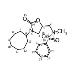 CN(C[C@H]1CN(C2CCCCCCC2)C(=O)O1)S(=O)(=O)c1ccccc1